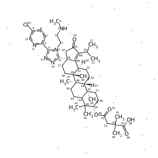 CNCCn1c(-c2ccc(Cl)cn2)nnc1[C@@]12CC[C@]3(C)[C@H](CC[C@@H]4[C@@]5(C)CC[C@H](OC(=O)CC(C)(C)C(=O)O)C(C)(C)C5CC[C@]43C)C1=C(C(C)C)C(=O)C2